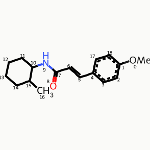 COc1ccc(C=CC(=O)NC2CCCCC2C)cc1